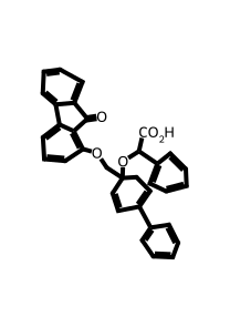 O=C1c2ccccc2-c2cccc(OCC3(OC(C(=O)O)c4ccccc4)C=CC(c4ccccc4)=CC3)c21